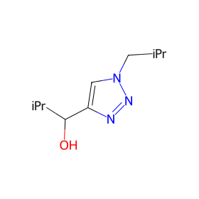 CC(C)Cn1cc(C(O)C(C)C)nn1